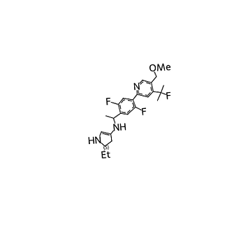 CC[C@H]1CC(NC(C)c2cc(F)c(-c3cc(C(C)(C)F)c(COC)cn3)cc2F)=CN1